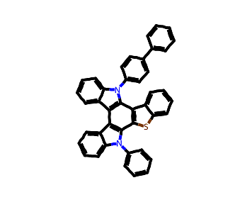 c1ccc(-c2ccc(-n3c4ccccc4c4c5c6ccccc6n(-c6ccccc6)c5c5sc6ccccc6c5c43)cc2)cc1